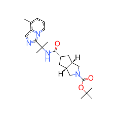 Cc1cccn2c(C(C)(C)NC(=O)[C@@H]3C[C@@H]4CN(C(=O)OC(C)(C)C)C[C@@H]4C3)ncc12